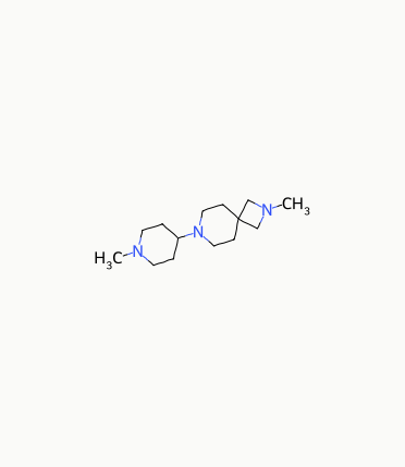 CN1CCC(N2CCC3(CC2)CN(C)C3)CC1